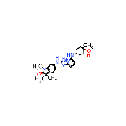 CN1C(=O)C(C)(C)c2ccc(Nc3nc4cccc(N[C@H]5CC[C@@](C)(O)CC5)n4n3)cc21